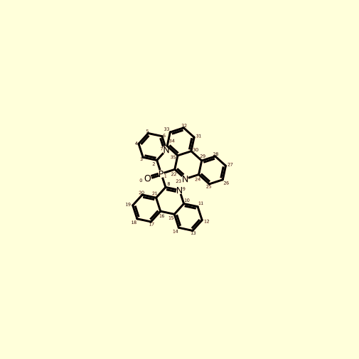 O=P(c1ccccn1)(c1nc2ccccc2c2ccccc12)c1nc2ccccc2c2ccccc12